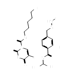 CCCCCCNC(=O)n1cc(F)c(=O)[nH]c1=O.CNNCc1ccc(C(=O)NC(C)C)cc1.Cl